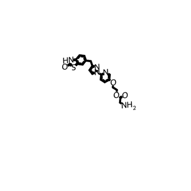 NCC(=O)OCCOc1ccc(-n2ccc(Cc3ccc4[nH]c(=O)sc4c3)n2)nc1